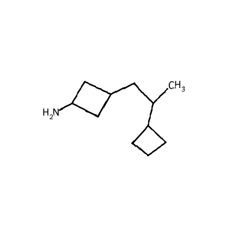 CC(CC1CC(N)C1)C1CCC1